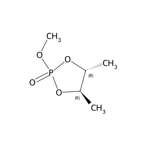 COP1(=O)O[C@H](C)[C@@H](C)O1